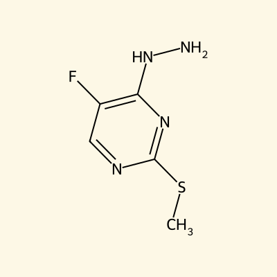 CSc1ncc(F)c(NN)n1